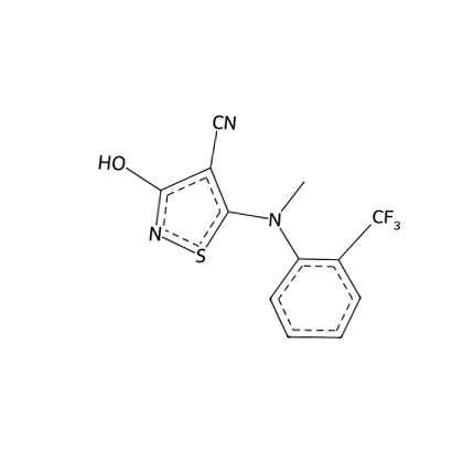 CN(c1ccccc1C(F)(F)F)c1snc(O)c1C#N